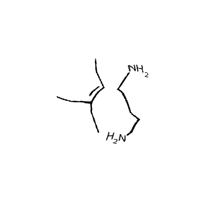 CC=C(C)C.NCCN